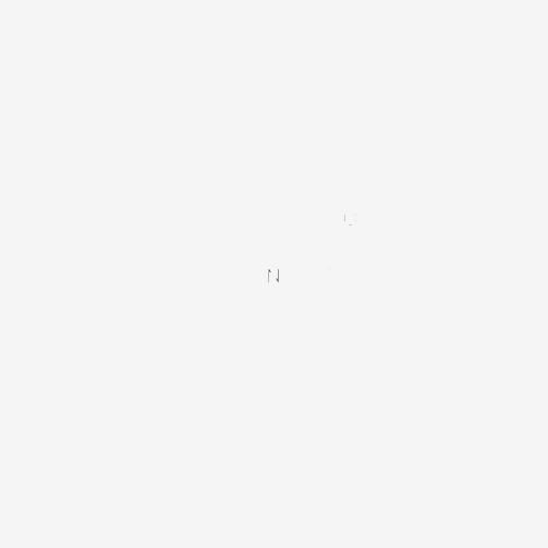 C#CN1CCCC1=O